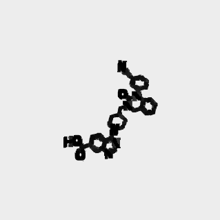 N#Cc1cccc(N2C(=O)N(CC3CCN(c4ncnc5cc(C(=O)O)ccc45)CC3)Cc3ccccc32)c1